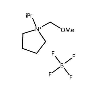 COC[N+]1(C(C)C)CCCC1.F[B-](F)(F)F